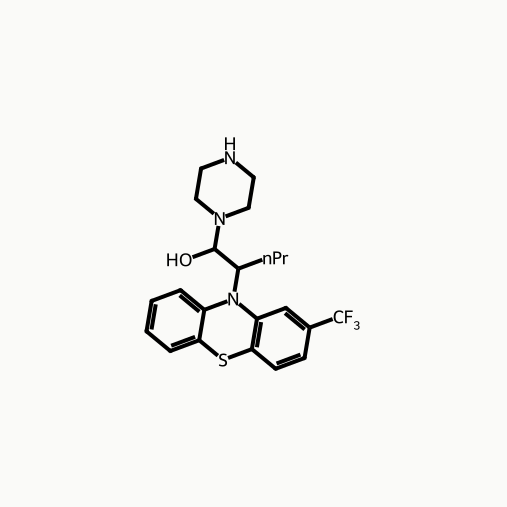 CCCC(C(O)N1CCNCC1)N1c2ccccc2Sc2ccc(C(F)(F)F)cc21